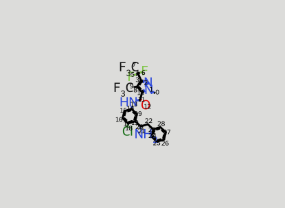 Cn1nc(C(F)(F)C(F)(F)F)c(C(F)(F)F)c1C(=O)Nc1ccc(Cl)c(C(N)Cc2ccccc2)c1